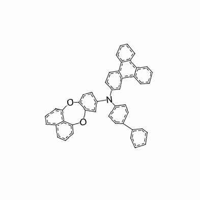 c1ccc(-c2ccc(N(c3ccc4c(c3)Oc3cccc5cccc(c35)O4)c3ccc4c5ccccc5c5ccccc5c4c3)cc2)cc1